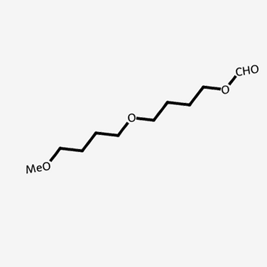 COCCCCOCCCCOC=O